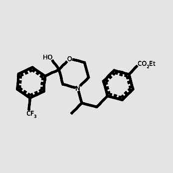 CCOC(=O)c1ccc(CC(C)N2CCOC(O)(c3cccc(C(F)(F)F)c3)C2)cc1